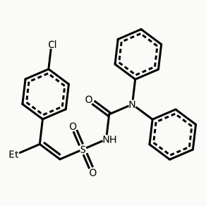 CCC(=CS(=O)(=O)NC(=O)N(c1ccccc1)c1ccccc1)c1ccc(Cl)cc1